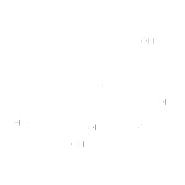 O=c1cc(C2C=CC(O)=CC2(O)O)oc2cc(O)cc(O)c12